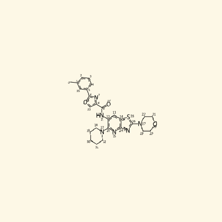 Cc1cccc(-c2nc(C(=O)Nc3cc4sc(N5CCOCC5)nc4nc3N3CCCCC3)co2)c1